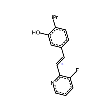 CC(C)c1ccc(/C=C/c2ncccc2F)cc1O